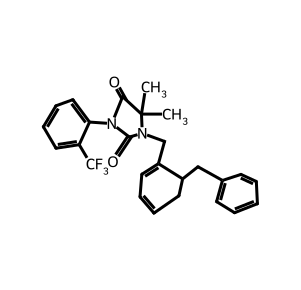 CC1(C)C(=O)N(c2ccccc2C(F)(F)F)C(=O)N1CC1=CC=CCC1Cc1ccccc1